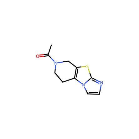 CC(=O)N1CCc2c(sc3nccn23)C1